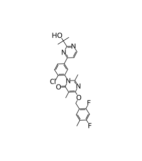 Cc1cc(COc2nc(C)n(-c3cc(-c4ccnc(C(C)(C)O)n4)ccc3Cl)c(=O)c2C)c(F)cc1F